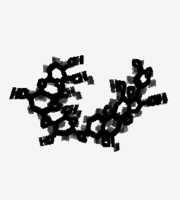 CC1OC(O[C@@H]2C(O)CC(O[C@@H]3C(O)C[C@@H](OC4CC[C@@]5(C)C6CC(O)[C@]7(C)C(C8=CC(=O)OC8)C(O)C[C@]78OC68CC[C@@]5(C)C4)OC3C)OC2C)CCC1O